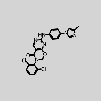 Cc1cn(-c2ccc(Nc3ncc4c(n3)OCN(c3c(Cl)cccc3Cl)C4=O)cc2)cn1